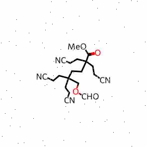 COC(=O)C(CCC#N)(CCC#N)CCC(CCC#N)(CCC#N)COC=O